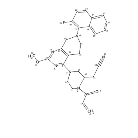 C=CC(=O)N1CCN(c2nc(OC)nc3c2CCN(c2c(F)ccc4ccccc24)C3)CC1CC#N